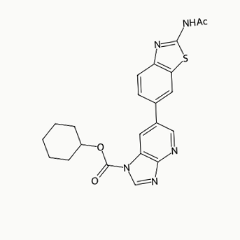 CC(=O)Nc1nc2ccc(-c3cnc4ncn(C(=O)OC5CCCCC5)c4c3)cc2s1